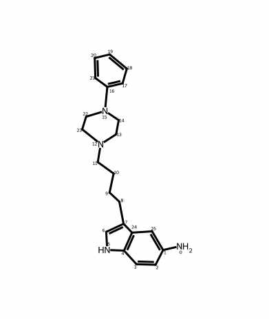 Nc1ccc2[nH]cc(CCCCN3CCN(c4ccccc4)CC3)c2c1